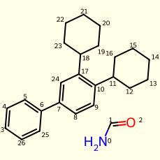 NC=O.c1ccc(-c2ccc(C3CCCCC3)c(C3CCCCC3)c2)cc1